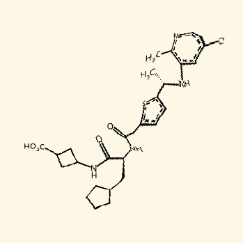 Cc1ncc(Cl)cc1N[C@@H](C)c1ccc(C(=O)N[C@@H](CC2CCCC2)C(=O)NC2CC(C(=O)O)C2)s1